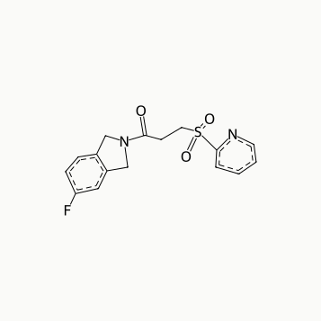 O=C(CCS(=O)(=O)c1ccccn1)N1Cc2ccc(F)cc2C1